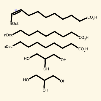 CCCCCCCC/C=C\CCCCCCCC(=O)O.CCCCCCCCCCCCCCCCCC(=O)O.CCCCCCCCCCCCCCCCCC(=O)O.OCC(O)CO.OCC(O)CO